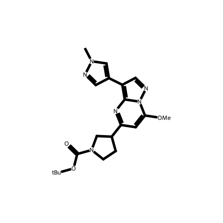 COc1cc(C2CCN(C(=O)OC(C)(C)C)C2)nc2c(-c3cnn(C)c3)cnn12